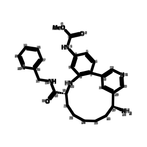 COC(=O)Nc1ccc2c(c1)N[C@@H](C(=O)NCc1ccccn1)CCCCC[C@H](N)c1cncc-2c1